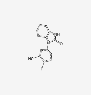 N#Cc1cc(-n2c(=O)[nH]c3ccccc32)ccc1F